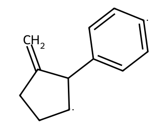 C=C1CC[CH]C1c1cc[c]cc1